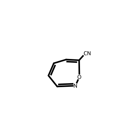 N#CC1=CC=CC=NO1